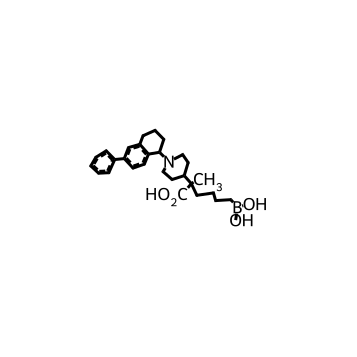 CC(CCCCB(O)O)(C(=O)O)C1CCN(C2CCCc3cc(-c4ccccc4)ccc32)CC1